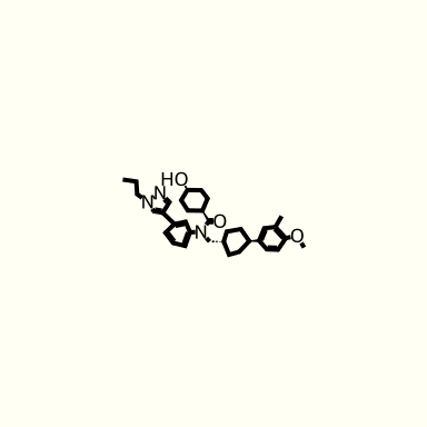 CCCn1cc(-c2cccc(N(C[C@H]3CC[C@H](c4ccc(OC)c(C)c4)CC3)C(=O)[C@H]3CC[C@H](O)CC3)c2)cn1